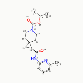 O=C(Nc1cccc(C(F)(F)F)n1)[C@H]1CC12CCN(C(=O)OC(C(F)(F)F)C(F)(F)F)CC2